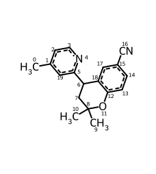 Cc1ccnc(C2CC(C)(C)Oc3ccc(C#N)cc32)c1